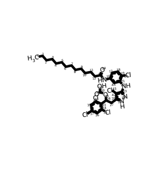 CCCCCCCCCCCCCC(=O)Nc1ccc(Cl)c(Nc2n[nH]c(CC(OC(=O)O)c3c(Cl)cc(Cl)cc3Cl)c2Cl)c1